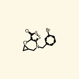 O=c1ssc(N(Cc2cccc(Br)c2)CC2CC2)c1Cl